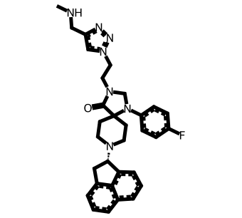 CNCc1cn(CCN2CN(c3ccc(F)cc3)C3(CCN([C@H]4Cc5cccc6cccc4c56)CC3)C2=O)nn1